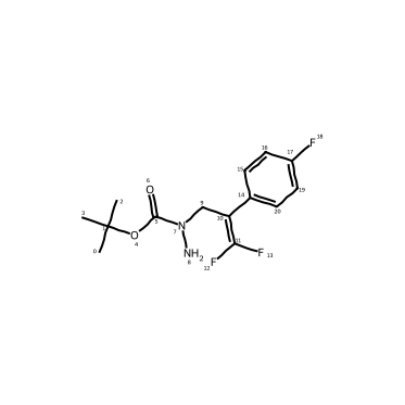 CC(C)(C)OC(=O)N(N)CC(=C(F)F)c1ccc(F)cc1